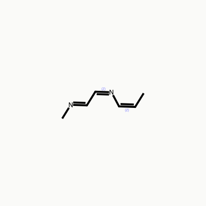 C/C=C\N=C/C=NC